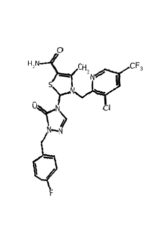 CC1=C(C(N)=O)SC(n2cnn(Cc3ccc(F)cc3)c2=O)N1Cc1ncc(C(F)(F)F)cc1Cl